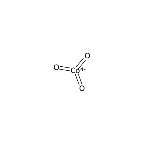 [O]=[Co-4](=[O])=[O]